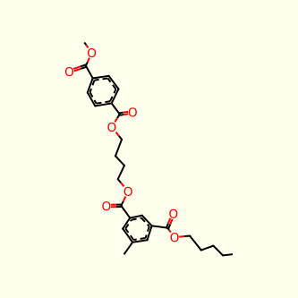 CCCCCOC(=O)c1cc(C)cc(C(=O)OCCCCOC(=O)c2ccc(C(=O)OC)cc2)c1